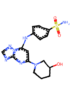 NS(=O)(=O)c1ccc(Nc2cc(N3CCCC(O)C3)nc3ncnn23)cc1